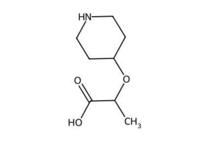 CC(OC1CCNCC1)C(=O)O